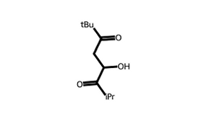 CC(C)C(=O)C(O)CC(=O)C(C)(C)C